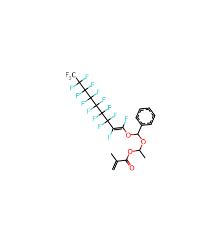 C=C(C)C(=O)OC(C)OC(OC(F)=C(F)C(F)(F)C(F)(F)C(F)(F)C(F)(F)C(F)(F)C(F)(F)C(F)(F)F)c1ccccc1